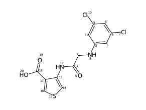 O=C(CNc1cc(Cl)cc(Cl)c1)Nc1cscc1C(=O)O